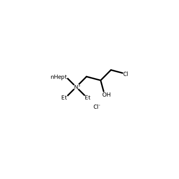 CCCCCCC[N+](CC)(CC)CC(O)CCl.[Cl-]